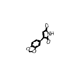 O=C1C=C(c2ccc3c(c2)OCO3)C(=O)N1